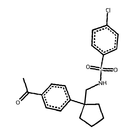 CC(=O)c1ccc(C2(CNS(=O)(=O)c3ccc(Cl)cc3)CCCC2)cc1